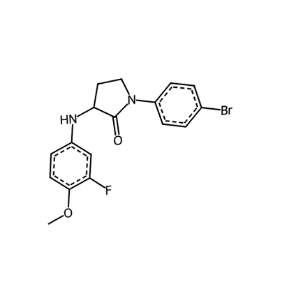 COc1ccc(NC2CCN(c3ccc(Br)cc3)C2=O)cc1F